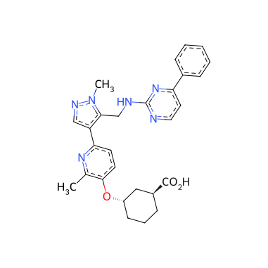 Cc1nc(-c2cnn(C)c2CNc2nccc(-c3ccccc3)n2)ccc1O[C@H]1CCC[C@H](C(=O)O)C1